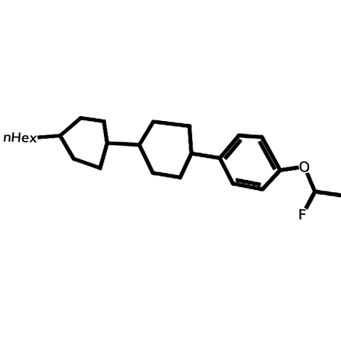 CCCCCCC1CCC(C2CCC(c3ccc(OC(F)C(F)(F)F)cc3)CC2)CC1